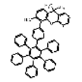 Cc1ccc2c(c1-c1ccc(-c3c(-c4ccccc4)c(-c4ccccc4)c(-c4ccccc4)c(-c4ccccc4)c3-c3ccccc3)cc1)Oc1ncncc1C2(C)C